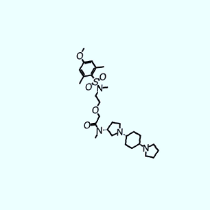 COc1cc(C)c(S(=O)(=O)N(C)CCOCC(=O)N(C)[C@@H]2CCN([C@H]3CC[C@H](N4CCCC4)CC3)C2)c(C)c1